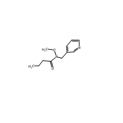 CCCC(=O)N(Cc1cccnc1)OC